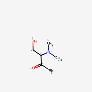 CN(C)C(CO)C(=O)C(C)(C)C